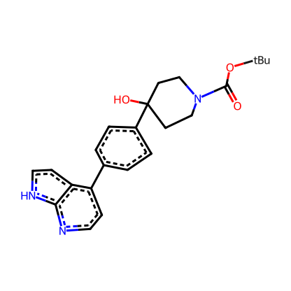 CC(C)(C)OC(=O)N1CCC(O)(c2ccc(-c3ccnc4[nH]ccc34)cc2)CC1